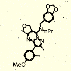 CCCN(Cc1ccc2c(c1)OCO2)c1c2c(nc3c(-c4ccc(OC)cc4C)c(C)nn13)COC2